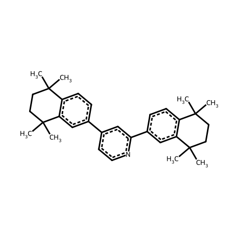 CC1(C)CCC(C)(C)c2cc(-c3ccnc(-c4ccc5c(c4)C(C)(C)CCC5(C)C)c3)ccc21